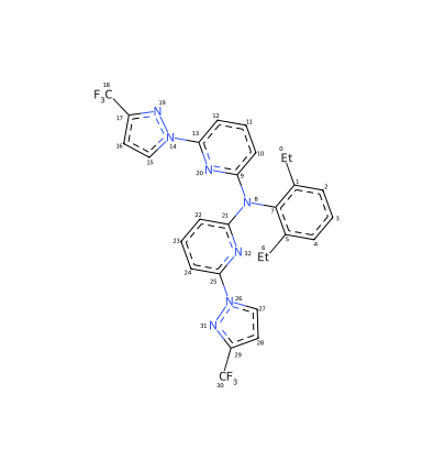 CCc1cccc(CC)c1N(c1cccc(-n2ccc(C(F)(F)F)n2)n1)c1cccc(-n2ccc(C(F)(F)F)n2)n1